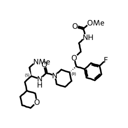 CNC[C@H](CC1CCCOC1)NC(=O)N1CCC[C@@H](C(OCCNC(=O)OC)c2cccc(F)c2)C1